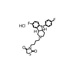 Cl.O=C1CSC(=O)N1CCCCN1CC[C@@H]2[C@@H](C1)c1cc(F)ccc1N2c1ccc(F)cc1